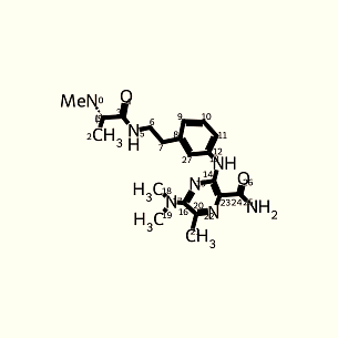 CN[C@@H](C)C(=O)NCCc1cccc(Nc2nc(N(C)C)c(C)nc2C(N)=O)c1